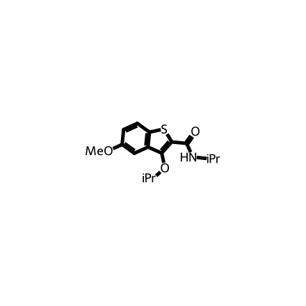 COc1ccc2sc(C(=O)NC(C)C)c(OC(C)C)c2c1